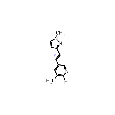 Cc1cc(/C=C/c2ccn(C)n2)cnc1F